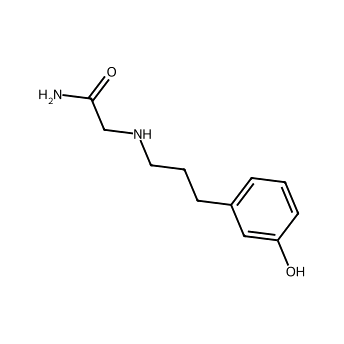 NC(=O)CNCCCc1cccc(O)c1